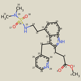 COC(=O)CCc1[nH]c2cccc(CCNS(=O)(=O)N(C)C)c2c1Cc1cccnc1